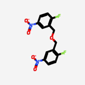 O=[N+]([O-])c1ccc(F)c(COCc2cc([N+](=O)[O-])ccc2F)c1